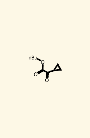 CCCCOC(=O)C(=O)C1CC1